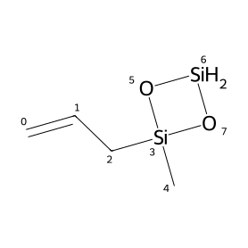 C=CC[Si]1(C)O[SiH2]O1